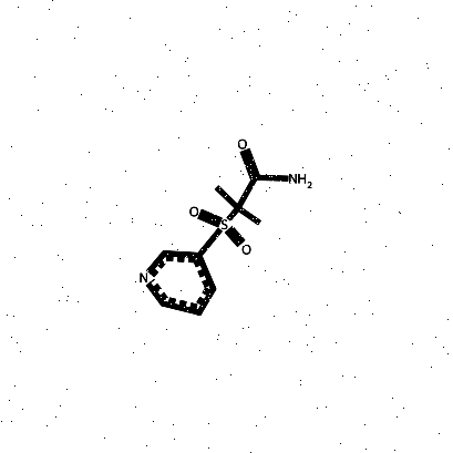 CC(C)(C(N)=O)S(=O)(=O)c1cccnc1